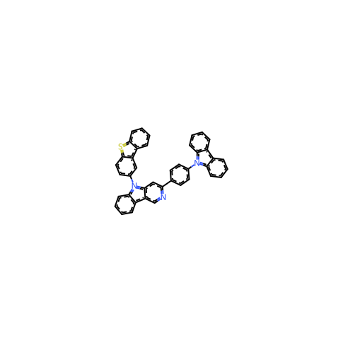 c1ccc2c(c1)sc1ccc(-n3c4ccccc4c4cnc(-c5ccc(-n6c7ccccc7c7ccccc76)cc5)cc43)cc12